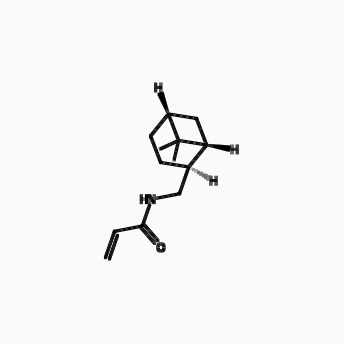 C=CC(=O)NC[C@H]1CC[C@@H]2C[C@H]1C2(C)C